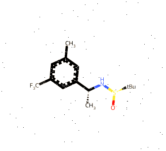 Cc1cc([C@@H](C)N[S@+]([O-])C(C)(C)C)cc(C(F)(F)F)c1